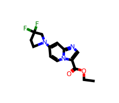 CCOC(=O)c1cnc2cc(N3CCC(F)(F)C3)ccn12